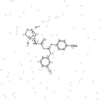 COc1ccc(CN(CC(=O)N[C@@H]2C[C@@H]3CC[C@H]2C3)Cc2cccc(Cl)c2)cc1